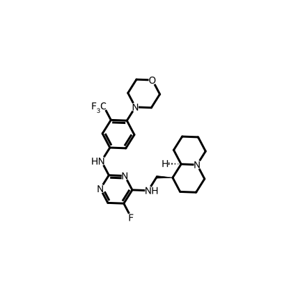 Fc1cnc(Nc2ccc(N3CCOCC3)c(C(F)(F)F)c2)nc1NC[C@@H]1CCCN2CCCC[C@H]12